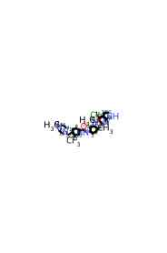 Cc1ccc(NC(=O)c2ccc(CN3CCN(C)CC3)c(C(F)(F)F)c2)cc1N(C)c1cnc2[nH]ccc2c1Cl